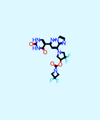 O=C(OC1CN(c2cc(-c3c[nH]c(=O)[nH]c3=O)nn3ccnc23)CC1(F)F)N1CC(F)(F)C1